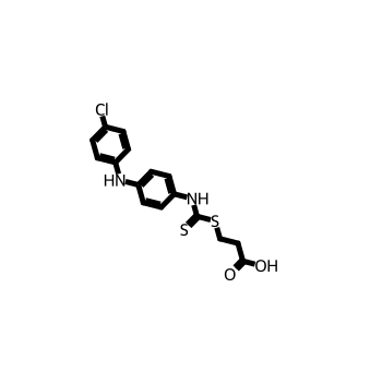 O=C(O)CCSC(=S)Nc1ccc(Nc2ccc(Cl)cc2)cc1